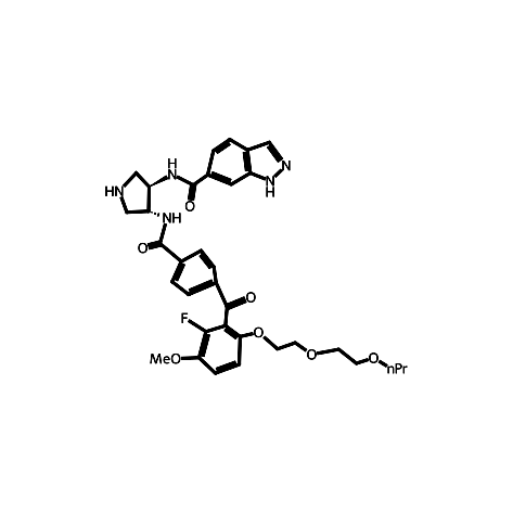 CCCOCCOCCOc1ccc(OC)c(F)c1C(=O)c1ccc(C(=O)N[C@@H]2CNC[C@H]2NC(=O)c2ccc3cn[nH]c3c2)cc1